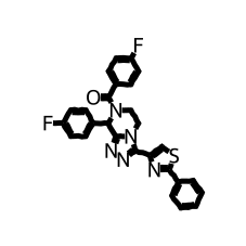 O=C(c1ccc(F)cc1)N1CCn2c(-c3csc(-c4ccccc4)n3)nnc2C1c1ccc(F)cc1